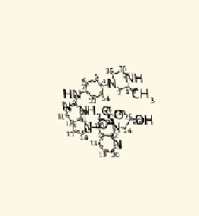 CC1CN(c2ccc(Nc3ncc4ccn(Cc5cccnc5N(CCO)S(C)(=O)=O)c4n3)cc2)CCN1